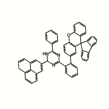 C1=Cc2cc(C3N=C(c4ccccc4-c4ccc5c(c4)C4(c6ccccc6O5)c5ccccc5-c5ccccc54)N=C(c4ccccc4)N3)cc3cccc(c23)C1